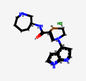 Cl.O=C(N[C@H]1CCCCNC1)C1=CN(c2ccnc3[nH]ccc23)CCS1